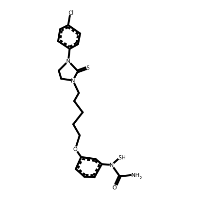 NC(=O)N(S)c1cccc(OCCCCCN2CCN(c3ccc(Cl)cc3)C2=S)c1